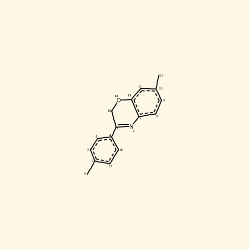 Cc1ccc(C2=Nc3ccc(C)cc3OC2)cc1